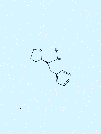 CCNC(Cc1ccccc1)[C@H]1CCCO1